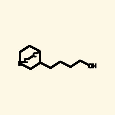 OCCCCC1CN2CCC1CC2